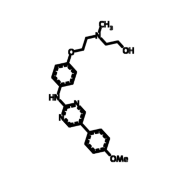 COc1ccc(-c2cnc(Nc3ccc(OCCN(C)CCO)cc3)nc2)cc1